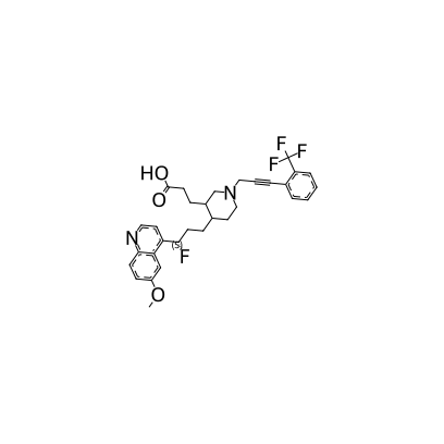 COc1ccc2nccc([C@@H](F)CCC3CCN(CC#Cc4ccccc4C(F)(F)F)CC3CCC(=O)O)c2c1